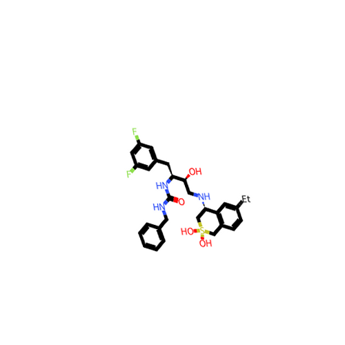 CCc1ccc2c(c1)[C@@H](NC[C@H](O)[C@H](Cc1cc(F)cc(F)c1)NC(=O)NCc1ccccc1)CS(O)(O)C2